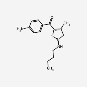 CCCCNN1CC(C)=C(C(=O)c2ccc(N)cc2)S1